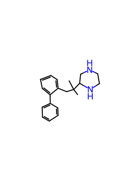 CC(C)(Cc1ccccc1-c1ccccc1)C1CNCCN1